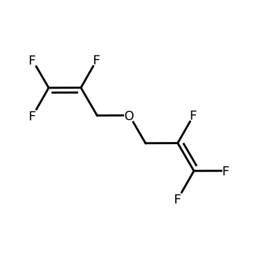 FC(F)=C(F)COCC(F)=C(F)F